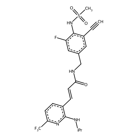 C#Cc1cc(CNC(=O)C=Cc2ccc(C(F)(F)F)nc2NC(C)C)cc(F)c1NS(C)(=O)=O